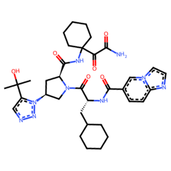 CC(C)(O)c1cnnn1[C@H]1C[C@@H](C(=O)NC2(C(=O)C(N)=O)CCCCC2)N(C(=O)[C@@H](CC2CCCCC2)NC(=O)c2ccc3nccn3c2)C1